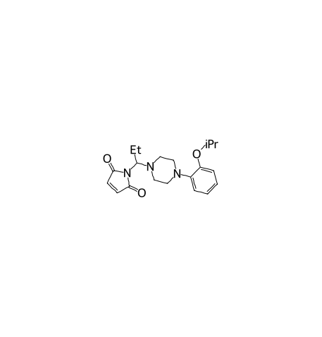 CCC(N1CCN(c2ccccc2OC(C)C)CC1)N1C(=O)C=CC1=O